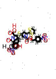 C[C@@H](O)[C@H]1C(=O)N2C(C(=O)O)=C(S[C@H]3C[C@@H](C4SCCCS4)N(C(=O)OCc4ccc([N+](=O)[O-])cc4)C3)[C@](C)(Cc3ccc([N+](=O)[O-])cc3)[C@H]12